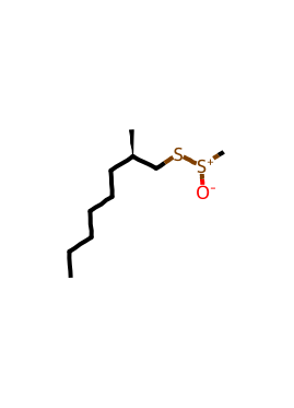 CCCCCC[C@@H](C)CS[S+](C)[O-]